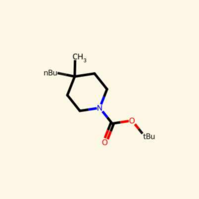 CCCCC1(C)CCN(C(=O)OC(C)(C)C)CC1